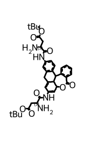 CC(C)(C)OC(=O)C[C@H](N)C(=O)NC1=CC2OC(=O)c3ccccc3C3c4ccc(NC(=O)[C@@H](N)CC(=O)OC(C)(C)C)cc4CC(=C1)C23